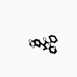 CC(C)=C(C(=O)N(c1ccccn1)C1CCCCC1)c1ccc2c(c1)OCO2